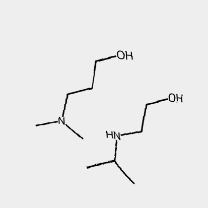 CC(C)NCCO.CN(C)CCCO